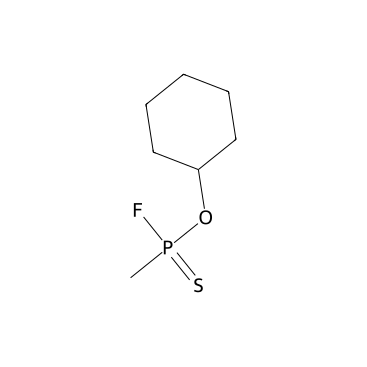 CP(F)(=S)OC1CCCCC1